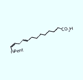 CCCCC/C=C\C/C=C/CCCCCCCC(=O)O